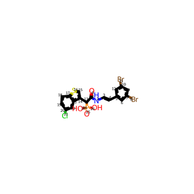 O=C(NC=Cc1cc(Br)cc(Br)c1)C(c1csc2ccc(Cl)cc12)P(=O)(O)O